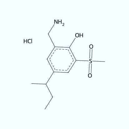 CCC(C)c1cc(CN)c(O)c(S(C)(=O)=O)c1.Cl